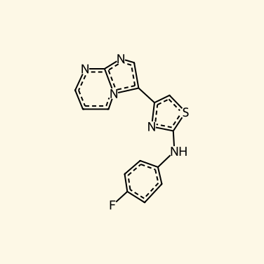 Fc1ccc(Nc2nc(-c3cnc4ncccn34)cs2)cc1